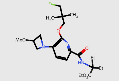 CCOC(=O)C(CC)(CC)NC(=O)c1ccc(N2CC(OC)C2)c(OCC(C)(C)CF)n1